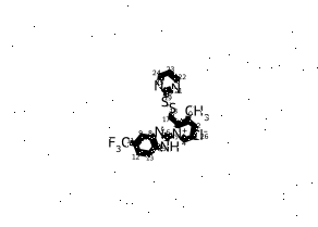 Cc1ccc[n+](-c2nc3cc(C(F)(F)F)ccc3[nH]2)c1CSSc1ncccn1.[Cl-]